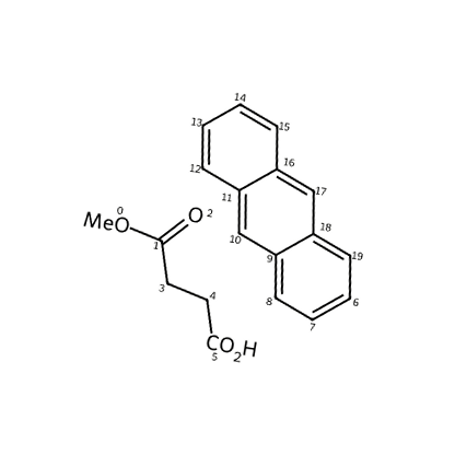 COC(=O)CCC(=O)O.c1ccc2cc3ccccc3cc2c1